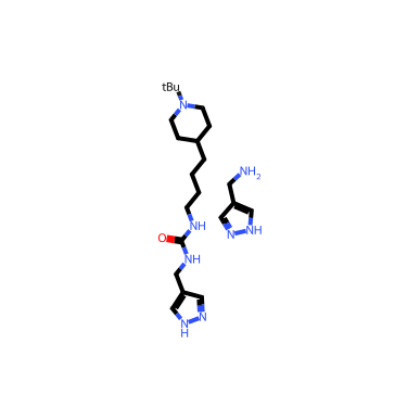 CC(C)(C)N1CCC(CCCCNC(=O)NCc2cn[nH]c2)CC1.NCc1cn[nH]c1